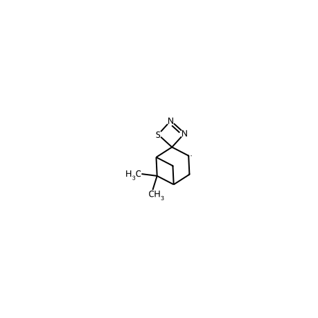 CC1(C)C2C[CH]C3(N=NS3)C1C2